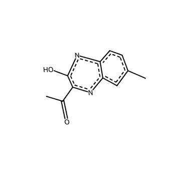 CC(=O)c1nc2cc(C)ccc2nc1O